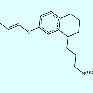 CC=CSc1ccc2c(c1)C(CCCNC(C)=O)CCC2